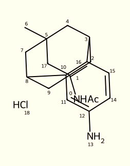 CC(=O)NC12CC3CC(C)(CC(C1)c1cc(N)ccc13)C2.Cl